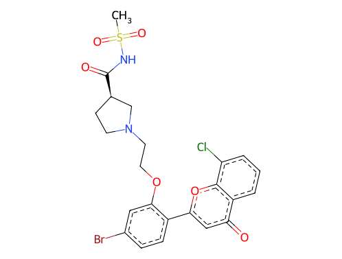 CS(=O)(=O)NC(=O)[C@@H]1CCN(CCOc2cc(Br)ccc2-c2cc(=O)c3cccc(Cl)c3o2)C1